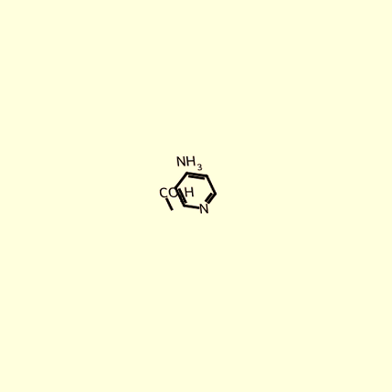 CC(=O)O.N.c1ccncc1